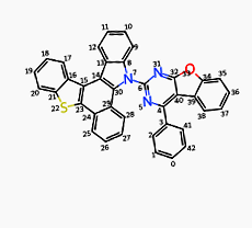 c1ccc(-c2nc(-n3c4ccccc4c4c5c6ccccc6sc5c5ccccc5c43)nc3oc4ccccc4c23)cc1